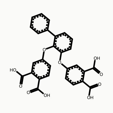 O=C(O)c1ccc(Oc2cccc(-c3ccccc3)c2Oc2ccc(C(=O)O)c(C(=O)O)c2)cc1C(=O)O